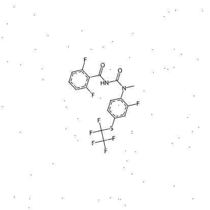 CN(C(=O)NC(=O)c1c(F)cccc1F)c1ccc(SC(F)(F)C(F)(F)F)cc1F